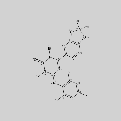 CCn1c(-c2ccc3c(c2)OC(C)(C)O3)cc(=Nc2c(C)cc(C)cc2C)n(C)c1=O